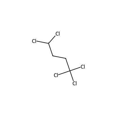 Cl[C](Cl)CCC(Cl)(Cl)Cl